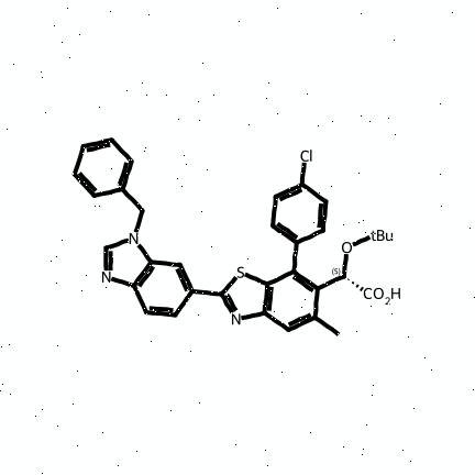 Cc1cc2nc(-c3ccc4ncn(Cc5ccccc5)c4c3)sc2c(-c2ccc(Cl)cc2)c1[C@H](OC(C)(C)C)C(=O)O